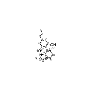 CCCc1cc(O)c(-c2c(C)ccn3cc(C)nc23)c(O)c1